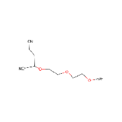 CCCOCCOCCOC(C#N)CCC#N